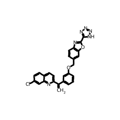 C=C(c1cccc(OCc2ccc3nc(-c4nnn[nH]4)oc3c2)c1)c1ccc2ccc(Cl)cc2n1